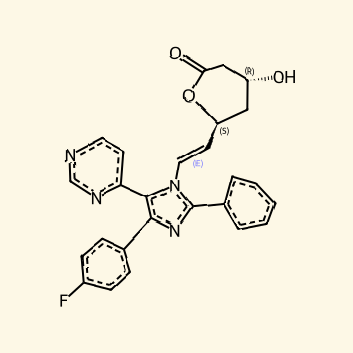 O=C1C[C@H](O)C[C@@H](/C=C/n2c(-c3ccccc3)nc(-c3ccc(F)cc3)c2-c2ccncn2)O1